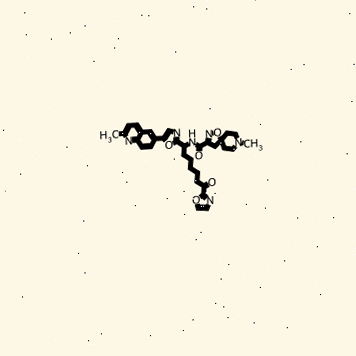 Cc1ccc2cc(-c3cnc(C(CCCCCC(=O)c4ncco4)NC(=O)C4=NOC5(CCN(C)CC5)C4)o3)ccc2n1